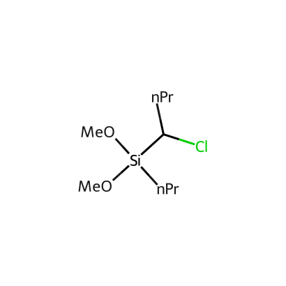 CCCC(Cl)[Si](CCC)(OC)OC